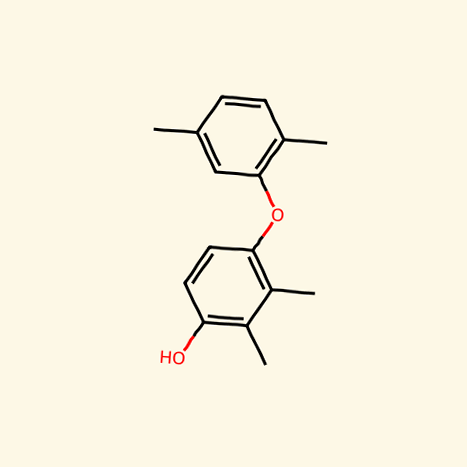 Cc1ccc(C)c(Oc2ccc(O)c(C)c2C)c1